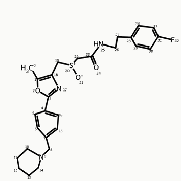 Cc1oc(-c2ccc(CN3CCCCC3)cc2)nc1C[S+]([O-])CC(=O)NCCc1ccc(F)cc1